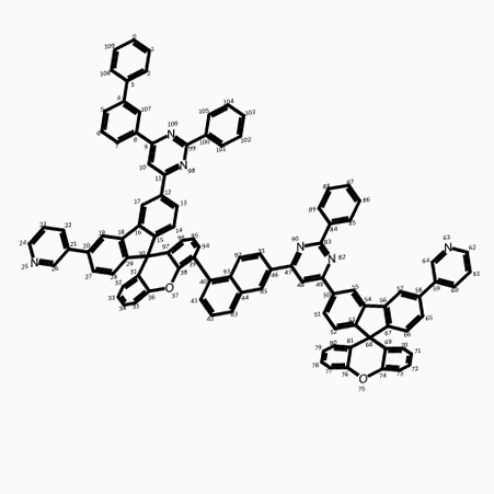 c1ccc(-c2cccc(-c3cc(-c4ccc5c(c4)-c4cc(-c6cccnc6)ccc4C54c5ccccc5Oc5c(-c6cccc7cc(-c8cc(-c9ccc%10c(c9)-c9cc(-c%11cccnc%11)ccc9C%109c%10ccccc%10Oc%10ccccc%109)nc(-c9ccccc9)n8)ccc67)cccc54)nc(-c4ccccc4)n3)c2)cc1